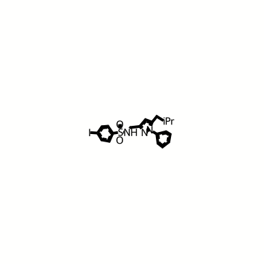 CC(C)Cc1cc(CNS(=O)(=O)c2ccc(I)cc2)nn1-c1ccccc1